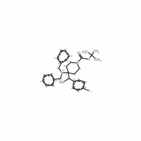 CC(C)(C)OC(=O)N1CCC(C(O)c2ccc(F)cc2)(N(Cc2ccccc2)Cc2ccccc2)CC1